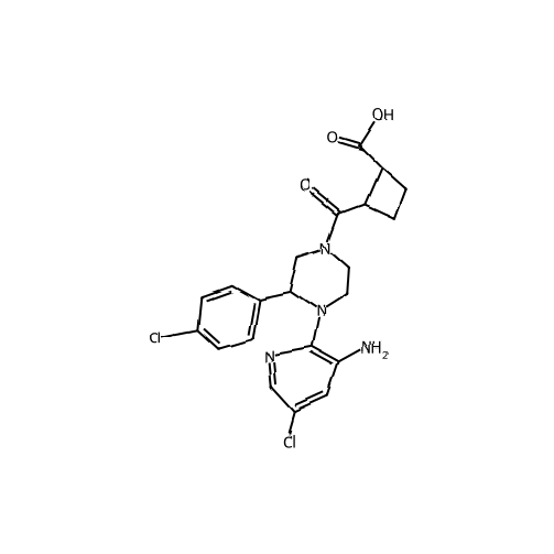 Nc1cc(Cl)cnc1N1CCN(C(=O)C2CCC2C(=O)O)CC1c1ccc(Cl)cc1